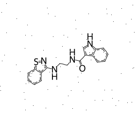 O=C(NCCNc1nsc2ccccc12)c1c[nH]c2ccccc12